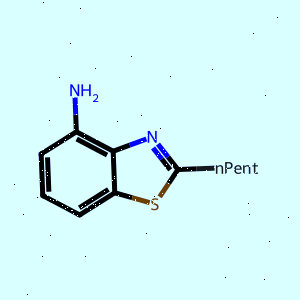 CCCCCc1nc2c(N)cccc2s1